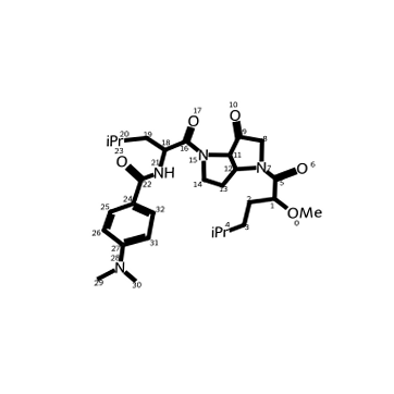 COC(CCC(C)C)C(=O)N1CC(=O)C2C1CCN2C(=O)C(CC(C)C)NC(=O)c1ccc(N(C)C)cc1